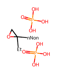 CCCCCCCCCC1(CC)CO1.O=P(O)(O)O.O=P(O)(O)O